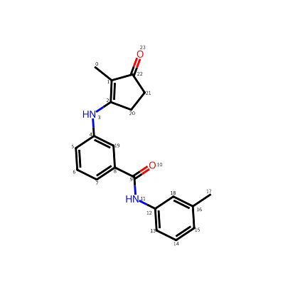 CC1=C(Nc2cccc(C(=O)Nc3cccc(C)c3)c2)CCC1=O